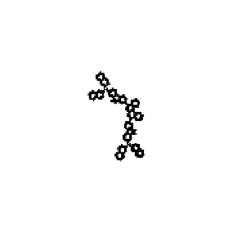 CC1(C)c2cc(-c3cc4cc(-c5ccc6c(c5)C(C)(C)c5cc(N(c7ccc8ccccc8c7)c7ccc8ccccc8c7)ccc5-6)c5ccccc5c4c4ccccc34)ccc2-c2ccc(N(c3ccc4ccccc4c3)c3ccc4ccccc4c3)cc21